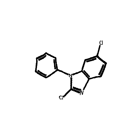 Clc1ccc2nc(Cl)n(-c3ccccc3)c2c1